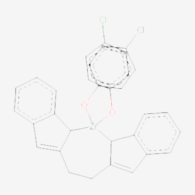 Clc1ccc([O][Zr]2([O]c3ccc(Cl)cc3)[CH]3C(=Cc4ccccc43)CCC3=Cc4ccccc4[CH]32)cc1